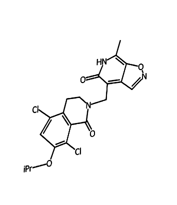 Cc1[nH]c(=O)c(CN2CCc3c(Cl)cc(OC(C)C)c(Cl)c3C2=O)c2cnoc12